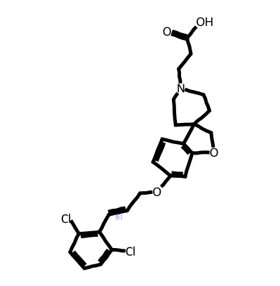 O=C(O)CCN1CCC2(CC1)COc1cc(OC/C=C/c3c(Cl)cccc3Cl)ccc12